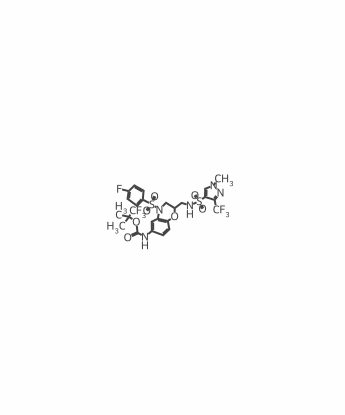 Cn1cc(S(=O)(=O)NCC2CN(S(=O)(=O)c3ccc(F)cc3)c3cc(NC(=O)OC(C)(C)C(F)(F)F)ccc3O2)c(C(F)(F)F)n1